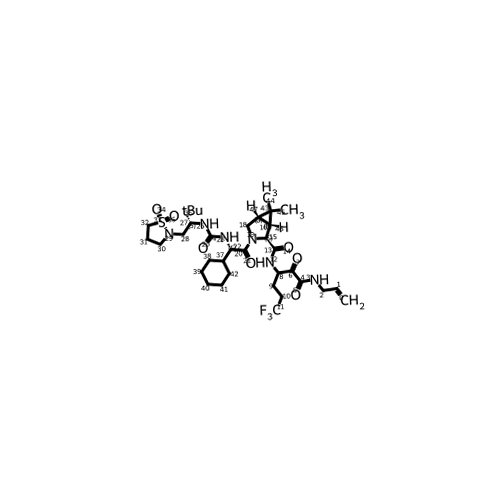 C=CCNC(=O)C(=O)C(CCC(F)(F)F)NC(=O)[C@@H]1[C@@H]2[C@H](CN1C(=O)[C@@H](NC(=O)N[C@H](CN1CCCS1(=O)=O)C(C)(C)C)C1CCCCC1)C2(C)C